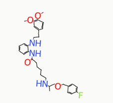 COc1ccc(CCNc2ccccc2NC(=O)CCCCCNC(C)COCc2ccc(F)cc2)cc1OC